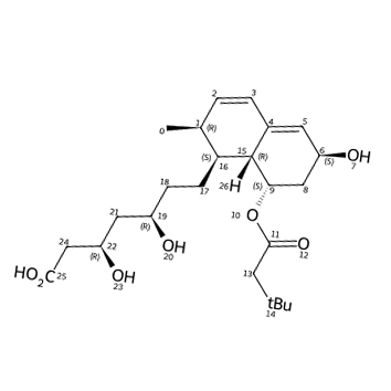 C[C@H]1C=CC2=C[C@@H](O)C[C@H](OC(=O)CC(C)(C)C)[C@@H]2[C@H]1CC[C@@H](O)C[C@@H](O)CC(=O)O